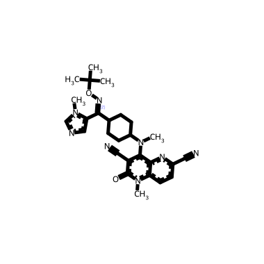 CN(c1c(C#N)c(=O)n(C)c2ccc(C#N)nc12)C1CCC(/C(=N/OC(C)(C)C)c2cncn2C)CC1